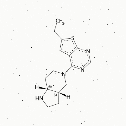 FC(F)(F)Cc1cc2c(N3CC[C@H]4NCC[C@H]4C3)ncnc2s1